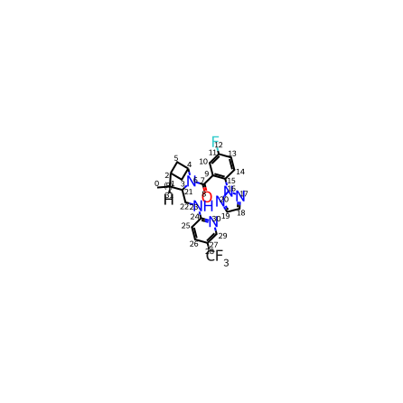 C[C@@H]1C2CC(C2)N(C(=O)c2cc(F)ccc2-n2nccn2)C1CNc1ccc(C(F)(F)F)cn1